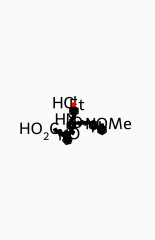 CCc1ccc(CNc2ccc(C(=O)c3cn(CCCC(=O)O)c4ccccc34)cc2OCCCCN2CCN(c3ccccc3OC)CC2)cc1.Cl